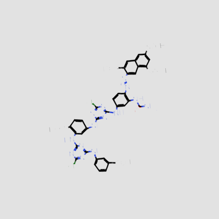 NC(=O)Nc1cc(Nc2nc(Cl)nc(Nc3ccc(S(=O)(=O)O)c(Nc4nc(Cl)nc(Nc5cccc(S(=O)(=O)O)c5)n4)c3)n2)ccc1/N=N/c1cc2c(S(=O)(=O)O)cc(S(=O)(=O)O)cc2cc1S(=O)(=O)O